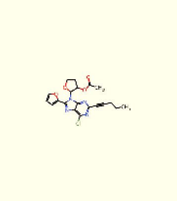 CCCC#Cc1nc(Cl)c2nc(-c3ccco3)n(C3OCCC3OC(C)=O)c2n1